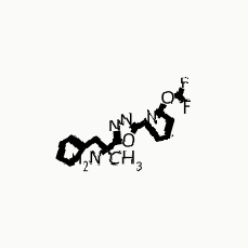 C[C@](N)(Cc1ccccc1)c1nnc(-c2c[c]cc(OC(F)F)n2)o1